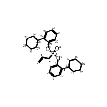 C=CCP(=O)(Oc1ccccc1C1CCCCC1)Oc1ccccc1C1CCCCC1